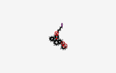 ICCCCCOc1ccc(C2=C(c3ccccc3)CCCc3cc(OC4CCCCO4)ccc32)cc1